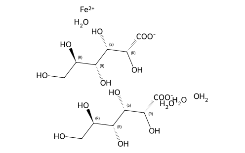 O.O.O.O.O=C([O-])[C@H](O)[C@@H](O)[C@H](O)[C@H](O)CO.O=C([O-])[C@H](O)[C@@H](O)[C@H](O)[C@H](O)CO.[Fe+2]